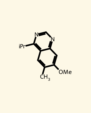 COc1cc2ncnc(C(C)C)c2cc1C